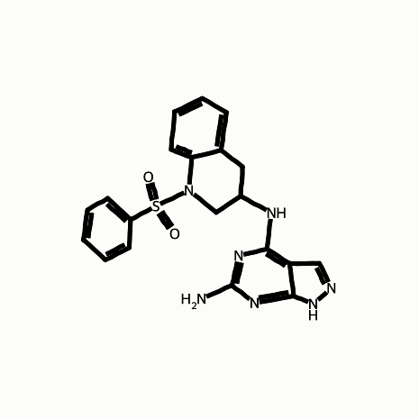 Nc1nc(NC2Cc3ccccc3N(S(=O)(=O)c3ccccc3)C2)c2cn[nH]c2n1